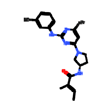 CC=C(C)C(=O)N[C@H]1CCN(c2cc(CCC)nc(Nc3cccc(C#N)c3)n2)C1